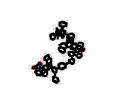 c1ccc(-c2cc(-c3ccc(-c4cccc(-c5cccc6c5-c5ccccc5C65c6ccccc6Oc6cc7c(cc65)c5c6ccccc6ccc5n7-c5cccc(-c6cc(-c7ccccc7)nc(-c7ccccc7)n6)c5)c4)cc3)cc(-n3c4cc5c(cc4c4c6ccccc6ccc43)C3(c4ccccc4O5)c4ccccc4-c4ccccc43)c2)cc1